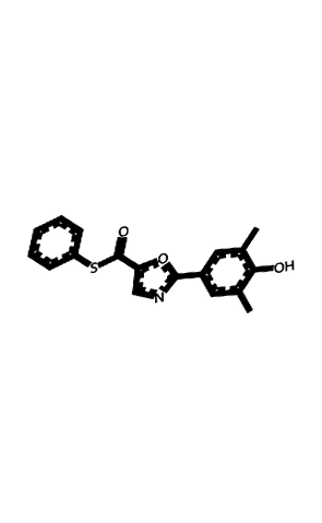 Cc1cc(-c2ncc(C(=O)Sc3ccccc3)o2)cc(C)c1O